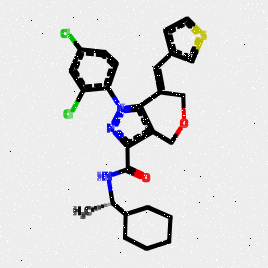 C[C@H](NC(=O)c1nn(-c2ccc(Cl)cc2Cl)c2c1COC/C2=C\c1ccsc1)C1CCCCC1